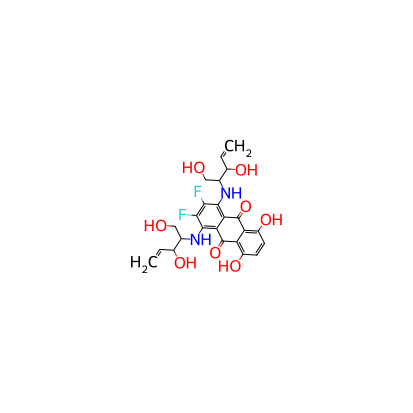 C=CC(O)C(CO)Nc1c(F)c(F)c(NC(CO)C(O)C=C)c2c1C(=O)c1c(O)ccc(O)c1C2=O